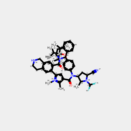 Cc1c(C(=O)N(c2ccc(O[Si](C(C)C)(C(C)C)C(C)C)cc2)C2CC(C#N)N(C(F)F)C2C)cc(-c2cc3c(cc2C(=O)N2Cc4ccccc4C[C@H]2C)CNCC3)n1C